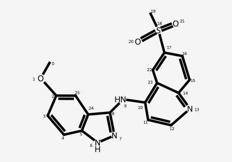 COc1ccc2[nH]nc(Nc3ccnc4ccc(S(C)(=O)=O)cc34)c2c1